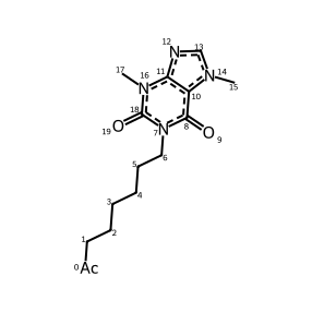 CC(=O)CCCCCCn1c(=O)c2c(ncn2C)n(C)c1=O